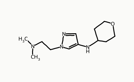 CN(C)CCn1cc(NC2CCOCC2)cn1